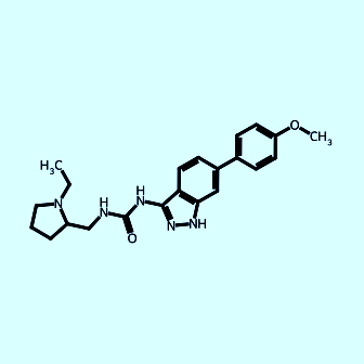 CCN1CCCC1CNC(=O)Nc1n[nH]c2cc(-c3ccc(OC)cc3)ccc12